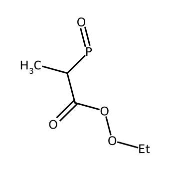 CCOOC(=O)C(C)P=O